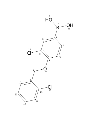 OB(O)c1ccc(OCc2ccccc2Cl)c(Cl)c1